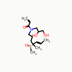 C=CC(=O)N(CCCC(C)(C=CC)[S+](C)[O-])CC(O)CO